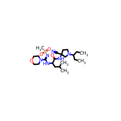 CCC(CC)N1CCC(C#N)(NC(=O)C(CC(C)C)NC(=NS(C)(=O)=O)N2CCOCC2)C1